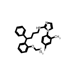 CCOc1ccccc1C(CCCBc1nccn1-c1ccc(F)cc1C)c1ccccc1